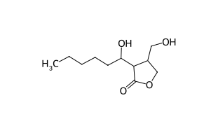 CCCCCC(O)C1C(=O)OCC1CO